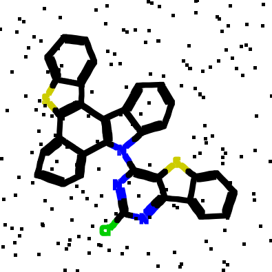 Clc1nc(-n2c3ccccc3c3c4c5ccccc5sc4c4ccccc4c32)c2sc3ccccc3c2n1